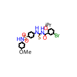 COc1ccc(NS(=O)(=O)c2ccc(NC(=S)NC(=O)c3cc(Br)ccc3OC(C)C)cc2)cc1